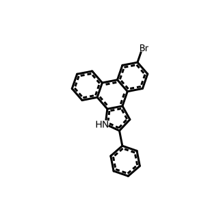 Brc1ccc2c(c1)c1ccccc1c1[nH]c(-c3ccccc3)cc21